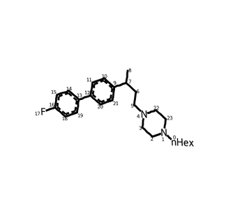 CCCCCCN1CCN(CCC(C)c2ccc(-c3ccc(F)cc3)cc2)CC1